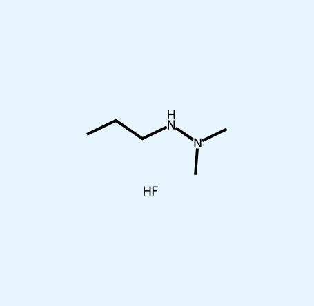 CCCNN(C)C.F